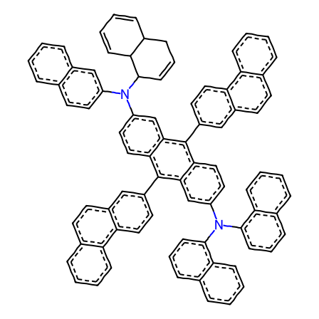 C1=CC2CC=CC(N(c3ccc4ccccc4c3)c3ccc4c(-c5ccc6c(ccc7ccccc76)c5)c5cc(N(c6cccc7ccccc67)c6cccc7ccccc67)ccc5c(-c5ccc6c(ccc7ccccc76)c5)c4c3)C2C=C1